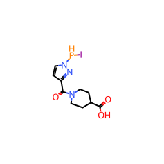 O=C(O)C1CCN(C(=O)c2ccn(PI)n2)CC1